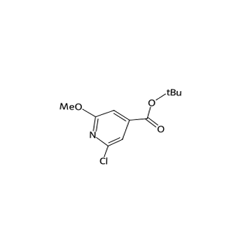 COc1cc(C(=O)OC(C)(C)C)cc(Cl)n1